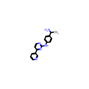 CC(N)c1ccc(Nc2nccc(-c3cccnc3)n2)cc1